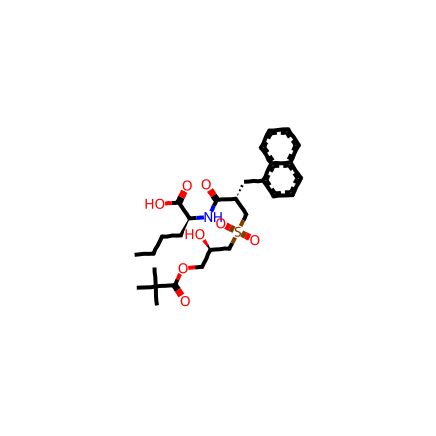 CCCC[C@H](NC(=O)[C@H](Cc1cccc2ccccc12)CS(=O)(=O)C[C@H](O)COC(=O)C(C)(C)C)C(=O)O